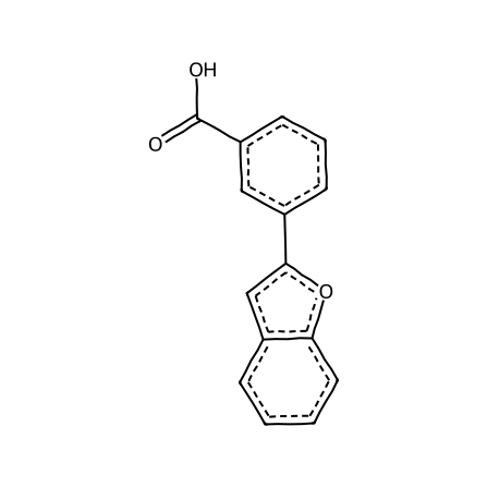 O=C(O)c1cccc(-c2cc3ccccc3o2)c1